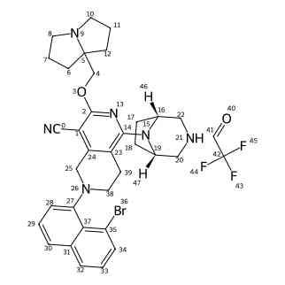 N#Cc1c(OCC23CCCN2CCC3)nc(N2[C@@H]3CC[C@H]2CNC3)c2c1CN(c1cccc3cccc(Br)c13)CC2.O=CC(F)(F)F